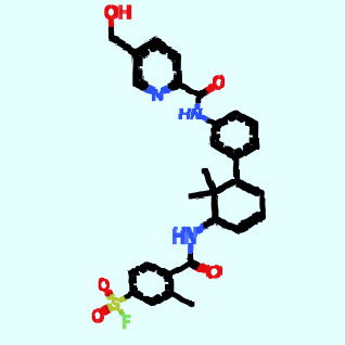 Cc1cc(S(=O)(=O)F)ccc1C(=O)NC1C=CC=C(c2cccc(NC(=O)c3ccc(CO)cn3)c2)C1(C)C